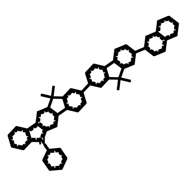 CC1(C)c2cc(-c3ccc4c(c3)C(C)(C)c3cc5c6ccccc6n(-c6ccccc6)c5cc3-4)ccc2-c2ccc(-c3ccc4ccccc4c3)cc21